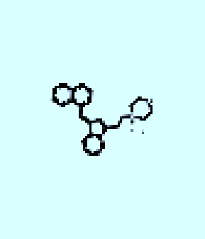 C[N+]1(CCC2=C/C(=C\c3cccc4ccccc34)c3ccccc32)CCOCC1